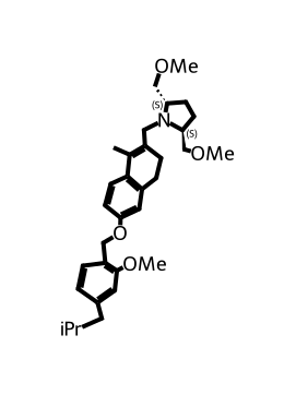 COC[C@@H]1CC[C@@H](COC)N1CC1=C(C)c2ccc(OCc3ccc(CC(C)C)cc3OC)cc2CC1